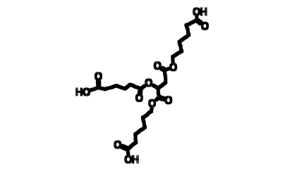 O=C(O)CCCCCOC(=O)CC(OC(=O)CCCCC(=O)O)C(=O)OCCCCCC(=O)O